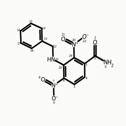 NC(=O)c1ccc([N+](=O)[O-])c(NCc2ccccc2)c1[N+](=O)[O-]